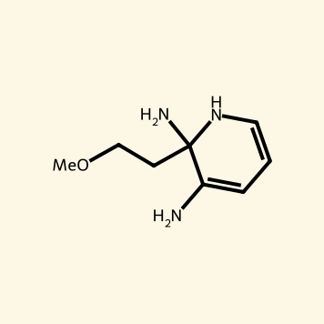 COCCC1(N)NC=CC=C1N